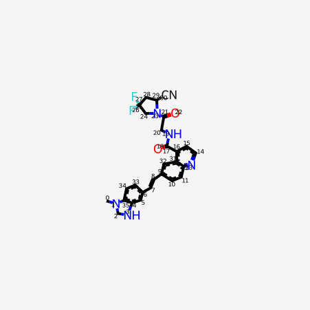 CN1CNc2cc(/C=C/c3ccc4nccc(C(=O)NCC(=O)N5CC(F)(F)CC5C#N)c4c3)ccc21